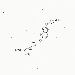 CC(=O)N[C@@H](C)CO[C@H]1C[C@H](COc2ccc3nc(O[C@H]4C[C@H](O)C4)sc3n2)C1